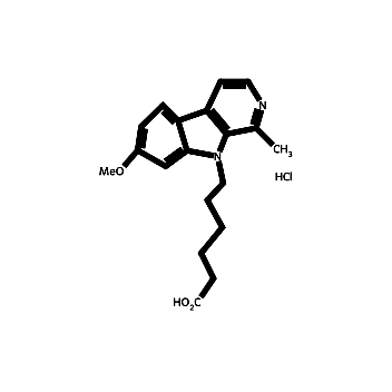 COc1ccc2c3ccnc(C)c3n(CCCCCC(=O)O)c2c1.Cl